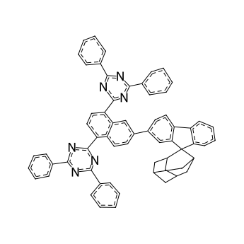 c1ccc(-c2nc(-c3ccccc3)nc(-c3ccc(-c4nc(-c5ccccc5)nc(-c5ccccc5)n4)c4cc(-c5ccc6c(c5)C5(c7ccccc7-6)C6CC7CC(C6)CC5C7)ccc34)n2)cc1